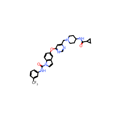 O=C(NC1CCN(Cc2cc(Oc3ccc4c(ccn4C(=O)Nc4cccc(C(F)(F)F)c4)c3)ncn2)CC1)C1CC1